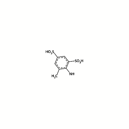 Cc1cc(S(=O)(=O)O)cc(S(=O)(=O)O)c1[NH]